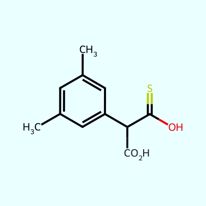 Cc1cc(C)cc(C(C(=O)O)C(O)=S)c1